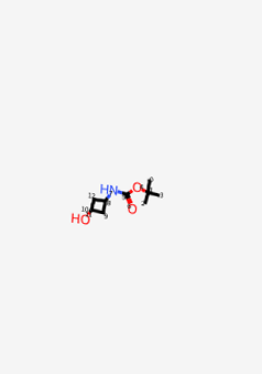 CC(C)(C)OC(=O)NC1CC(O)C1